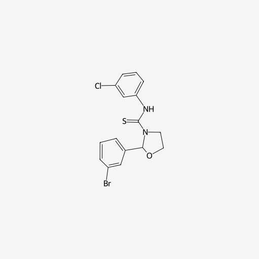 S=C(Nc1cccc(Cl)c1)N1CCOC1c1cccc(Br)c1